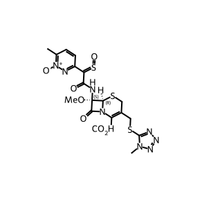 CO[C@@]1(NC(=O)C(=S=O)c2ccc(C)[n+]([O-])n2)C(=O)N2C(C(=O)O)=C(CSc3nnnn3C)CS[C@@H]21